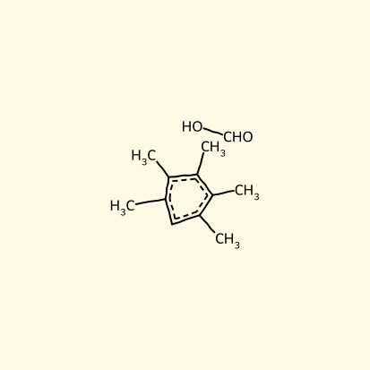 Cc1cc(C)c(C)c(C)c1C.O=CO